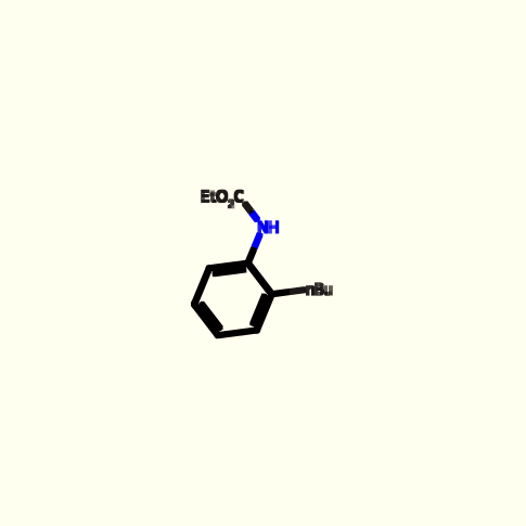 CCCCc1ccccc1NC(=O)OCC